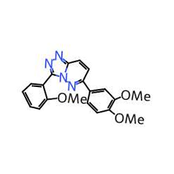 COc1ccc(-c2ccc3nnc(-c4ccccc4OC)n3n2)cc1OC